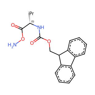 CC(C)[C@H](NC(=O)OCC1c2ccccc2-c2ccccc21)C(=O)ON